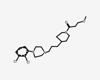 COCCC(=O)N1CCC(CCCN2CCN(c3cccc(Cl)c3Cl)CC2)CC1